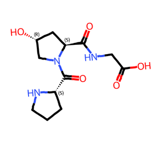 O=C(O)CNC(=O)[C@@H]1C[C@@H](O)CN1C(=O)[C@@H]1CCCN1